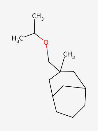 CC(C)OCC1(C)CC2CCCC(C2)C1